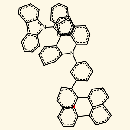 c1ccc(-c2cccc3cccc(-c4ccccc4-c4cccc(N(c5ccccc5-c5ccccc5-n5c6ccccc6c6ccccc65)c5cccc6c5oc5ccccc56)c4)c23)cc1